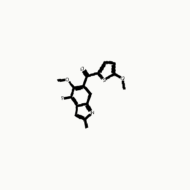 COC1=C(C(=O)c2ccc(OC)s2)CC2=NC(C)=[C]C2=C1F